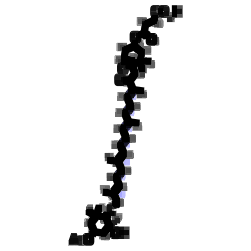 CC(=O)OC1CC(C)(C)C(=C=C/C(C)=C/C=C/C(C)=C/C=C/C=C(C)/C=C/C=C(\C)C(=O)CC23OC2(C)CC(OC(=O)CCC(=O)O)CC3(C)C)[C@@](C)(O)C1